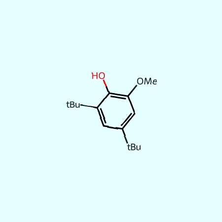 COc1cc(C(C)(C)C)cc(C(C)(C)C)c1O